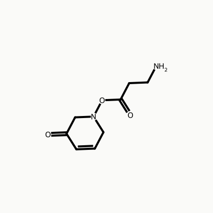 NCCC(=O)ON1CC=CC(=O)C1